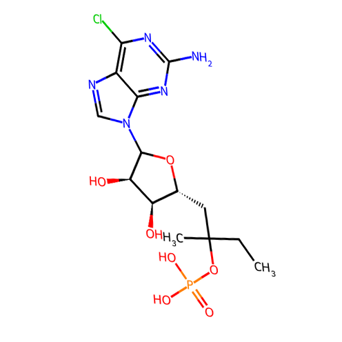 CCC(C)(C[C@H]1OC(n2cnc3c(Cl)nc(N)nc32)[C@H](O)[C@@H]1O)OP(=O)(O)O